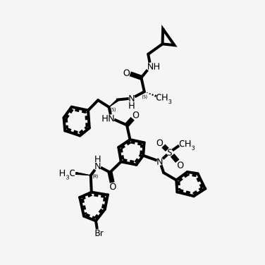 C[C@H](NC[C@H](Cc1ccccc1)NC(=O)c1cc(C(=O)N[C@H](C)c2ccc(Br)cc2)cc(N(Cc2ccccc2)S(C)(=O)=O)c1)C(=O)NCC1CC1